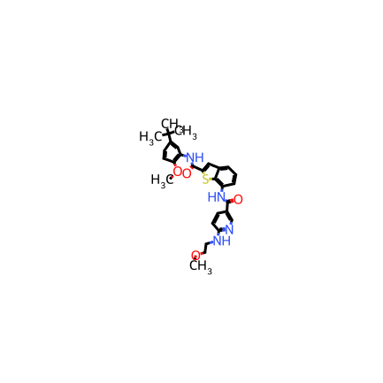 COCCNc1ccc(C(=O)Nc2cccc3cc(C(=O)Nc4cc(C(C)(C)C)ccc4OC)sc23)cn1